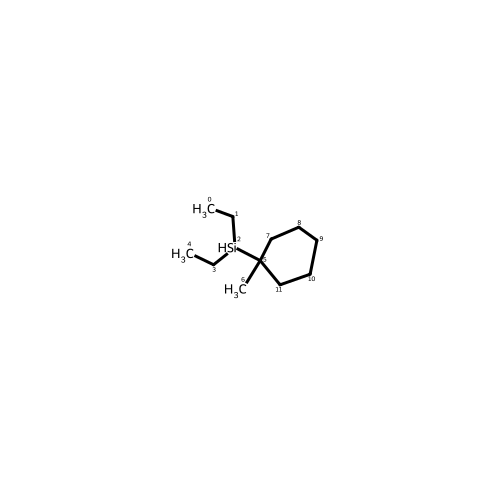 CC[SiH](CC)C1(C)CCCCC1